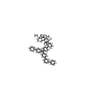 CC1(C)c2ccccc2-c2c1ccc1c2oc2c(-c3ccc(N(c4ccc(-c5ccccc5)cc4)c4ccc(-c5cccc(-c6ccccc6)c5)cc4)cc3)cccc21